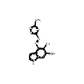 CSc1nsc(/N=N/c2c(O)c(O)cc3[nH]ccc23)n1